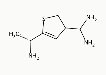 C[C@@H](N)C1=CC(C(N)N)CS1